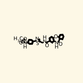 CS(=O)(=O)Nc1ccc(-c2ncc(CNC(=O)c3ccc4c(c3)NC(=O)c3ccccc3O4)s2)cc1